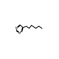 [CH2]CCCCCc1cncnc1